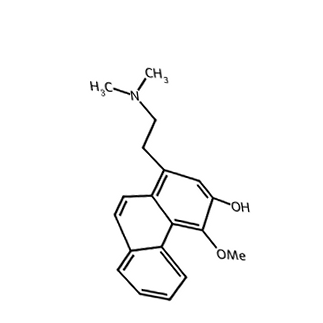 COc1c(O)cc(CCN(C)C)c2ccc3ccccc3c12